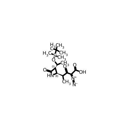 CC(C(=O)C(=[N+]=[N-])C(=O)O)[C@H]1NC(=O)[C@@H]1C(C)O[Si](C)(C)C(C)(C)C